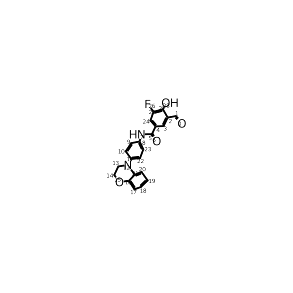 O=Cc1cc(C(=O)Nc2ccc(N3CCOc4ccccc43)cc2)cc(F)c1O